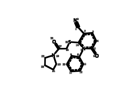 N#Cc1ccc(=O)n(-c2ccccc2)c1SCC(=O)N1CCCC1